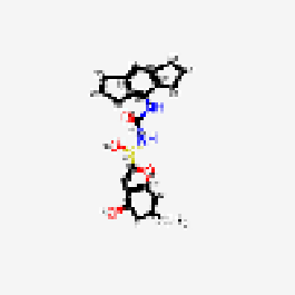 CC1CC(=O)c2cc([S+]([O-])NC(=O)Nc3c4c(cc5c3CCC5)CCC4)oc2C1